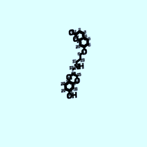 O=c1ccc2ccc(OCCCNC[C@@H]3COc4cc(O)ccc4O3)cc2o1